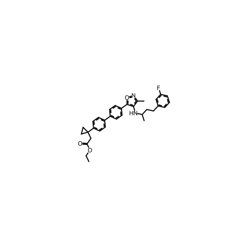 CCOC(=O)CC1(c2ccc(-c3ccc(-c4onc(C)c4NC(C)CCc4cccc(F)c4)cc3)cc2)CC1